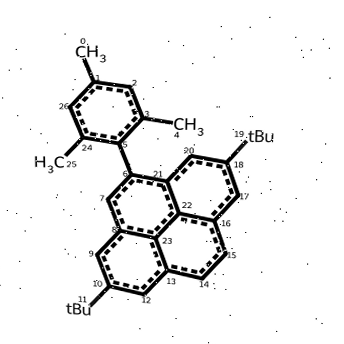 Cc1cc(C)c(-c2cc3cc(C(C)(C)C)cc4ccc5cc(C(C)(C)C)cc2c5c43)c(C)c1